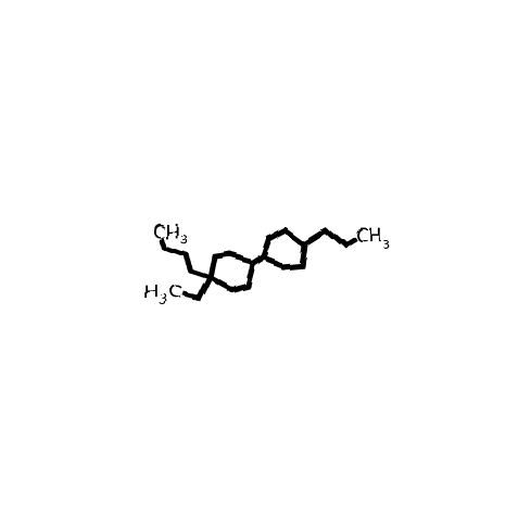 CCCCC1(CC)CCC(C2CCC(CCC)CC2)CC1